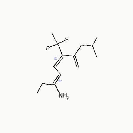 C=C(CC(C)C)/C(=C\C=C(\N)CC)C(C)(F)F